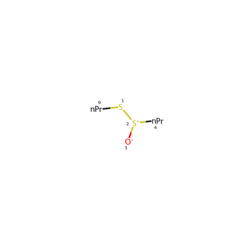 CCCS[S+]([O-])CCC